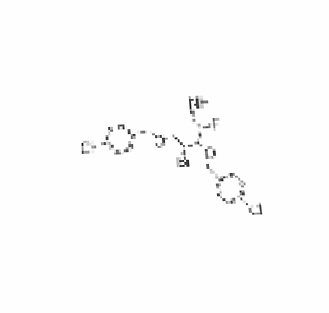 N=C[C@@H](F)[C@H](OCc1ccc(Cl)cc1)[C@@H](Br)COCc1ccc(Cl)cc1